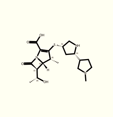 C[C@@H](O)[C@H]1C(=O)N2C(C(=O)O)=C(S[C@@H]3CN[C@H](C4CCN(C)C4)C3)[C@H](C)[C@H]12